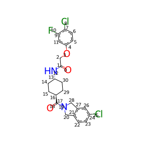 O=C(COc1ccc(Cl)c(F)c1)N[C@H]1CC[C@H](C(=O)N2Cc3ccc(Cl)cc3C2)CC1